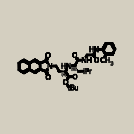 Cc1ccccc1NC(=O)CNC(=O)[C@H](CC(C)C)N[C@H](CCN1C(=O)c2cc3ccccc3cc2C1=O)C(=O)OC(C)(C)C